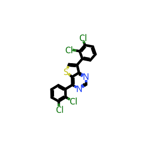 Clc1cccc(-c2csc3c(-c4cccc(Cl)c4Cl)ncnc23)c1Cl